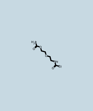 BC(=O)OCCOCCNC(=O)CC